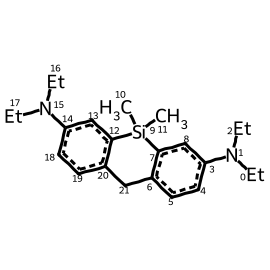 CCN(CC)c1ccc2c(c1)[Si](C)(C)c1cc(N(CC)CC)ccc1C2